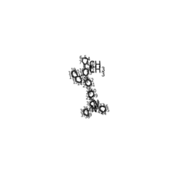 CC1(C)c2ccccc2-c2cc(-c3cccc4ccccc34)c(-c3ccc(-c4ccc(-c5cc(-c6ccccc6)nc(-c6ccccc6)n5)cc4)cc3)cc21